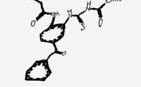 COC(=O)NC(=S)Nc1cc(C(=O)c2ccccc2)ccc1NC(=O)CC(C)C